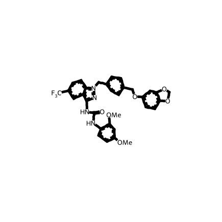 COc1ccc(NC(=O)Nc2nn(Cc3ccc(COc4ccc5c(c4)OCO5)cc3)c3ccc(C(F)(F)F)cc23)c(OC)c1